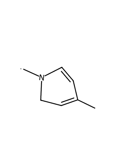 [CH2]N1C=CC(C)=CC1